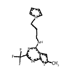 Cc1cc2c(NCCCn3cccc3)nc(C(F)(F)F)nc2s1